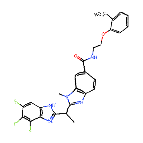 CC(c1nc2c(F)c(F)c(F)cc2[nH]1)c1nc2ccc(C(=O)NCCOc3ccccc3C(=O)O)cc2n1C